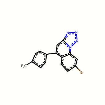 FC(F)(F)c1ccc(-c2cc3nnnn3c3cc(Br)ccc23)cc1